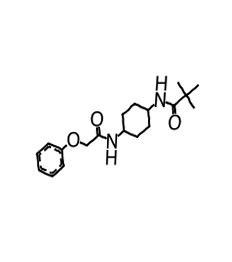 CC(C)(C)C(=O)NC1CCC(NC(=O)COc2ccccc2)CC1